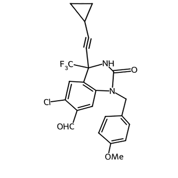 COc1ccc(CN2C(=O)NC(C#CC3CC3)(C(F)(F)F)c3cc(Cl)c(C=O)cc32)cc1